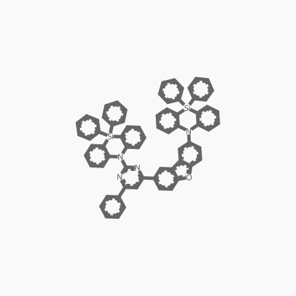 c1ccc(-c2cc(-c3ccc4oc5ccc(N6c7ccccc7[Si](c7ccccc7)(c7ccccc7)c7ccccc76)cc5c4c3)nc(N3c4ccccc4[Si](c4ccccc4)(c4ccccc4)c4ccccc43)n2)cc1